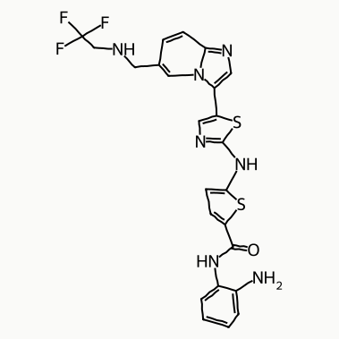 Nc1ccccc1NC(=O)c1ccc(Nc2ncc(-c3cnc4ccc(CNCC(F)(F)F)cn34)s2)s1